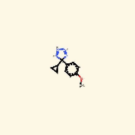 COc1[c]cc(C2(C3CC3)N=NN=N2)cc1